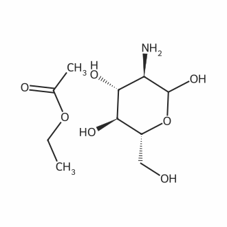 CCOC(C)=O.N[C@H]1C(O)O[C@H](CO)[C@@H](O)[C@@H]1O